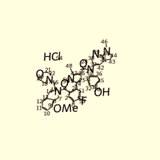 COc1cc(C(=O)N2Cc3ccccc3C[C@H]2CN2CCOCC2)c(-c2cc(C(=O)N(c3ccc(O)cc3)c3cnc4c(c3)CCN4C)c(C)n2C)cc1F.Cl